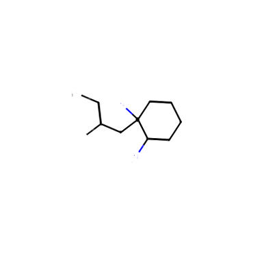 CCC(CC(C)C)CC1(N)CCCCC1N